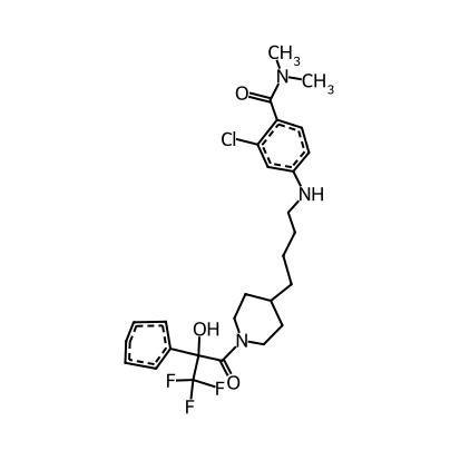 CN(C)C(=O)c1ccc(NCCCCC2CCN(C(=O)C(O)(c3ccccc3)C(F)(F)F)CC2)cc1Cl